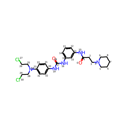 O=C(CCN1CCCCC1)Nc1cccc(NC(=O)Nc2ccc(N(CCCl)CCCl)cc2)c1